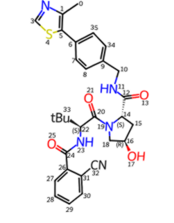 Cc1ncsc1-c1ccc(CNC(=O)[C@@H]2C[C@@H](O)CN2C(=O)[C@@H](NC(=O)c2ccccc2C#N)C(C)(C)C)cc1